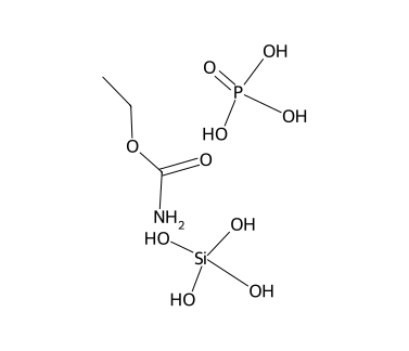 CCOC(N)=O.O=P(O)(O)O.O[Si](O)(O)O